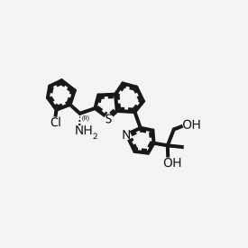 CC(O)(CO)c1ccnc(-c2cccc3cc([C@H](N)c4ccccc4Cl)sc23)c1